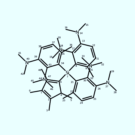 CC1=C(C)C(C)C([Si](c2c(C)ccc(N(C)C)c2N(C)C)(c2c(C)ccc(N(C)C)c2N(C)C)c2c(C)ccc(N(C)C)c2N(C)C)=C1C